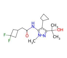 Cn1nc(C(C)(C)O)c(C2CCC2)c1NC(=O)CC1CC(F)(F)C1